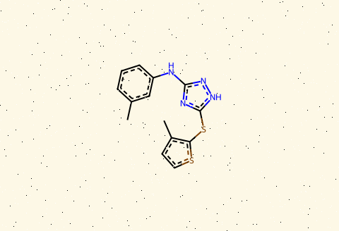 Cc1cccc(Nc2n[nH]c(Sc3sccc3C)n2)c1